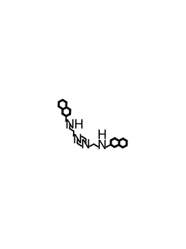 c1ccc2cc(CNCCCN3CCN(CCCNCc4ccc5ccccc5c4)CC3)ccc2c1